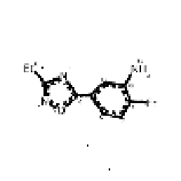 CCc1noc(-c2ccc(F)c(N)c2)n1